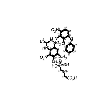 CCC(CC)Nc1c([N+](=O)[O-])cc(C)c(C)c1[N+](=O)[O-].Nc1c([N+](=O)[O-])ccc(Oc2ccccc2)c1Cl.O=C(O)CNCP(=O)(O)O